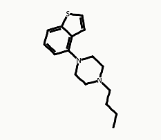 CCCCN1CCN(c2cccc3sccc23)CC1